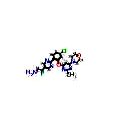 Cc1nc(Oc2cc(Cl)ccc2-c2ncc([C@@H](F)CN)cn2)cc(N2CCOCC2)n1